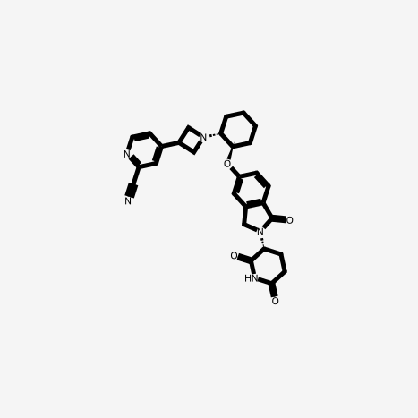 N#Cc1cc(C2CN([C@@H]3CCCC[C@H]3Oc3ccc4c(c3)CN([C@@H]3CCC(=O)NC3=O)C4=O)C2)ccn1